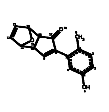 Cc1ccc(O)cc1C1=CC2C3C=CC(O3)C2C1=O